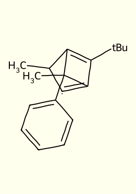 CC1[C]=C2C(C(C)(C)C)=C1C2(C)c1ccccc1